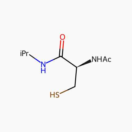 CC(=O)N[C@@H](CS)C(=O)NC(C)C